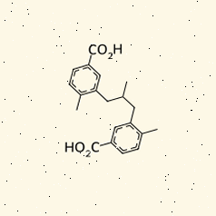 Cc1ccc(C(=O)O)cc1CC(C)Cc1cc(C(=O)O)ccc1C